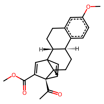 COC(=O)C1=CC23C=C[C@@]1(C(C)=O)[C@@]2(C)CC[C@@H]1c2ccc(OC)cc2CC[C@H]13